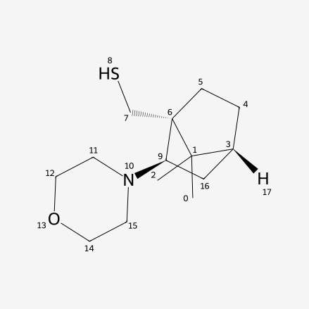 CC1(C)[C@@H]2CC[C@]1(CS)[C@H](N1CCOCC1)C2